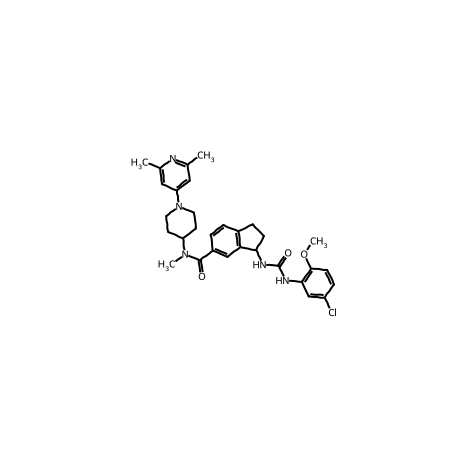 COc1ccc(Cl)cc1NC(=O)NC1CCc2ccc(C(=O)N(C)C3CCN(c4cc(C)nc(C)c4)CC3)cc21